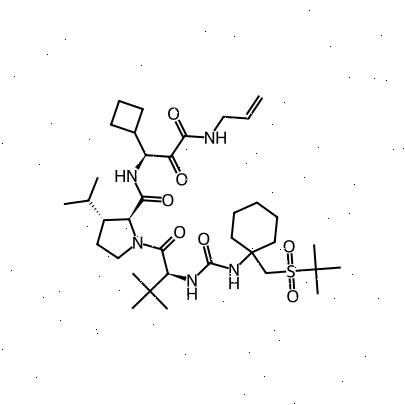 C=CCNC(=O)C(=O)[C@@H](NC(=O)[C@@H]1[C@@H](C(C)C)CCN1C(=O)[C@@H](NC(=O)NC1(CS(=O)(=O)C(C)(C)C)CCCCC1)C(C)(C)C)C1CCC1